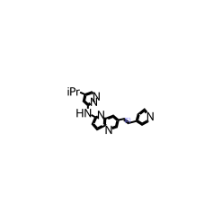 CC(C)c1cnnc(Nc2ccc3ncc(/C=C/c4ccncc4)cc3n2)c1